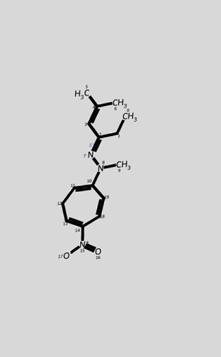 CC/C(C=C(C)C)=N\N(C)C1=CCC=C([N+](=O)[O-])C=C1